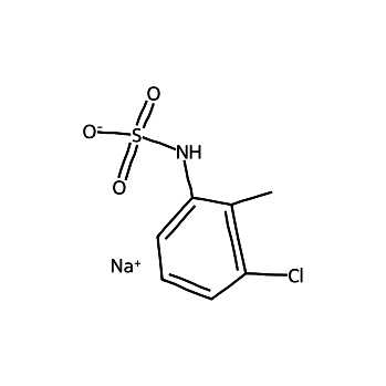 Cc1c(Cl)cccc1NS(=O)(=O)[O-].[Na+]